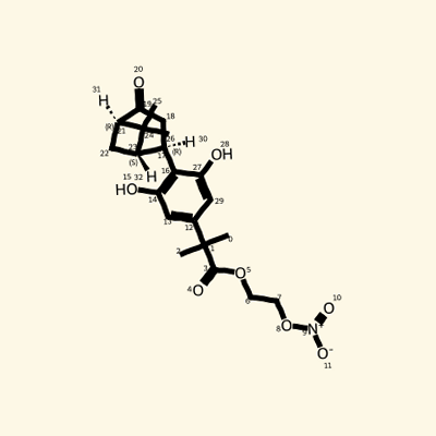 CC(C)(C(=O)OCCO[N+](=O)[O-])c1cc(O)c([C@@H]2CC(=O)[C@@H]3C[C@@H]2C3(C)C)c(O)c1